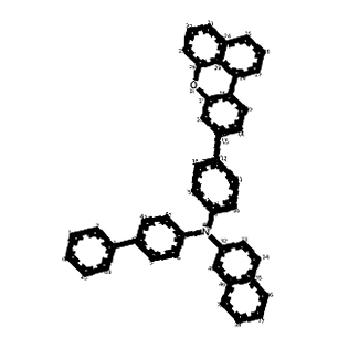 c1ccc(-c2ccc(N(c3ccc(-c4ccc5c(c4)Oc4cccc6cccc-5c46)cc3)c3ccc4ccccc4c3)cc2)cc1